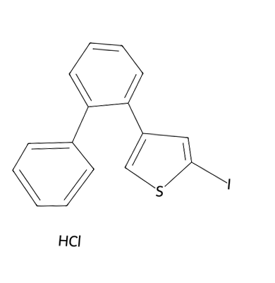 Cl.Ic1cc(-c2ccccc2-c2ccccc2)cs1